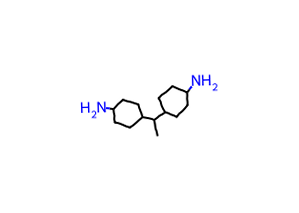 CC(C1CCC(N)CC1)C1CCC(N)CC1